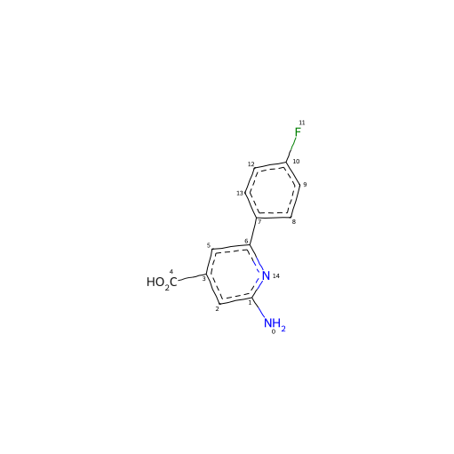 Nc1cc(C(=O)O)cc(-c2ccc(F)cc2)n1